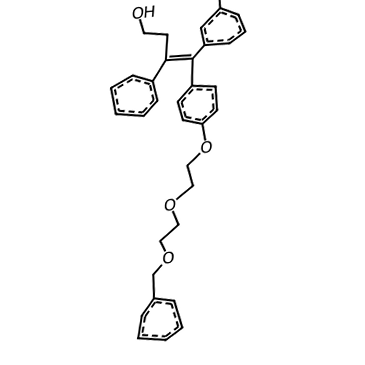 OCCC(=C(c1ccc(OCCOCCOCc2ccccc2)cc1)c1cccc(O)c1)c1ccccc1